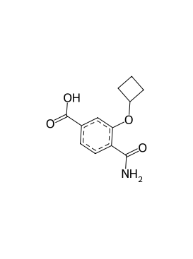 NC(=O)c1ccc(C(=O)O)cc1OC1CCC1